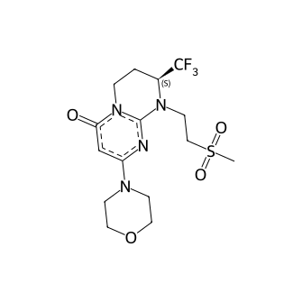 CS(=O)(=O)CCN1c2nc(N3CCOCC3)cc(=O)n2CC[C@H]1C(F)(F)F